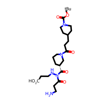 CC(C)(C)OC(=O)N1CCC(CCC(=O)N2CCC[C@@H](C(=O)N(NCCC(=O)O)C(=O)CCN)C2)CC1